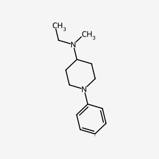 CCN(C)C1CCN(c2cc[c]cc2)CC1